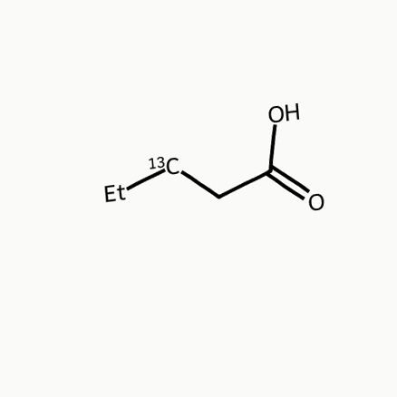 [13CH3][13CH2][13CH2]CC(=O)O